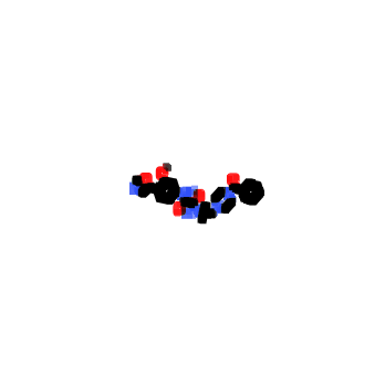 COc1cc(NC(=O)C(=O)NC(C)(C)CN2CCN(C(=O)c3ccccc3)CC2)ccc1-c1cnco1